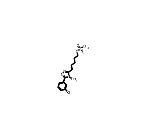 Cn1c(CCCCCOS(C)(=O)=O)nnc1-c1cccc(Cl)c1